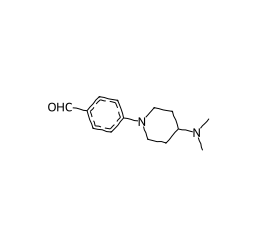 CN(C)C1CCN(c2ccc(C=O)cc2)CC1